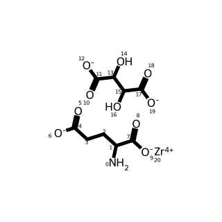 NC(CCC(=O)[O-])C(=O)[O-].O=C([O-])C(O)C(O)C(=O)[O-].[Zr+4]